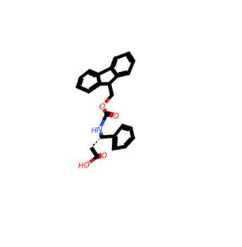 O=C(O)C[C@H](NC(=O)OCC1c2ccccc2-c2ccccc21)c1ccccc1